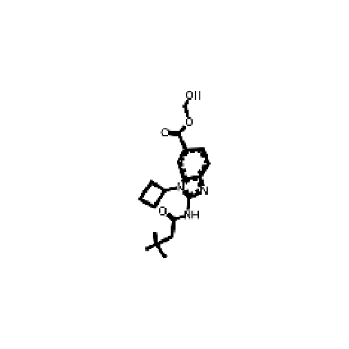 CC(C)(C)CC(=O)Nc1nc2ccc(C(=O)OCO)cc2n1C1CCC1